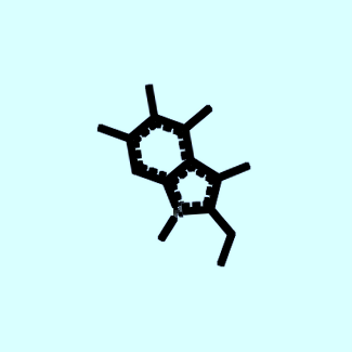 CCc1c(C)c2c(C)c(C)c(C)cc2n1C